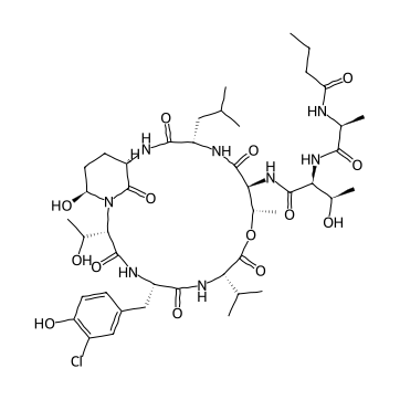 CCCC(=O)N[C@@H](C)C(=O)N[C@H](C(=O)N[C@@H]1C(=O)N[C@@H](CC(C)C)C(=O)N[C@@H]2CC[C@H](O)N(C2=O)[C@@H](C(C)O)C(=O)N[C@@H](Cc2ccc(O)c(Cl)c2)C(=O)N[C@@H](C(C)C)C(=O)O[C@H]1C)[C@@H](C)O